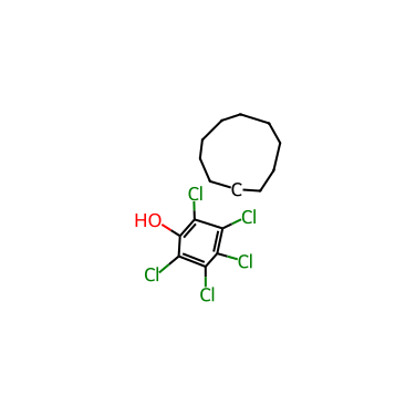 C1CCCCCCCCC1.Oc1c(Cl)c(Cl)c(Cl)c(Cl)c1Cl